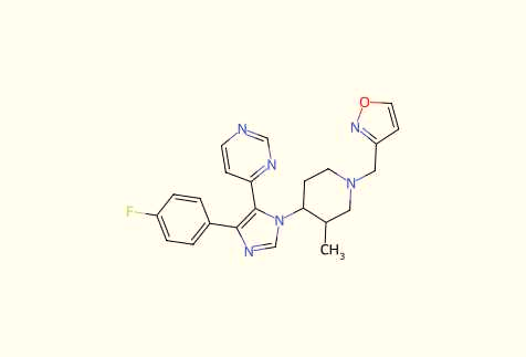 CC1CN(Cc2ccon2)CCC1n1cnc(-c2ccc(F)cc2)c1-c1ccncn1